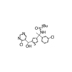 CC(N[S+]([O-])C(C)(C)C)(c1cccc(Cl)c1)c1csc(C(O)c2cncnc2Cl)c1